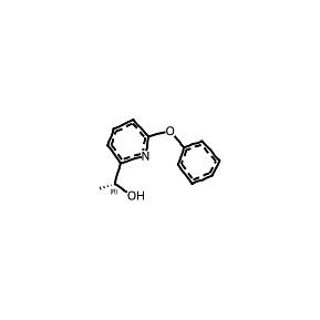 C[C@@H](O)c1cccc(Oc2ccccc2)n1